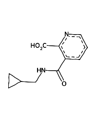 O=C(NCC1CC1)c1cccnc1C(=O)O